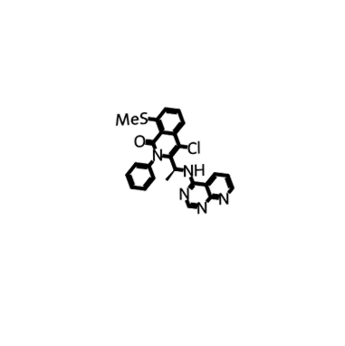 CSc1cccc2c(Cl)c([C@H](C)Nc3ncnc4ncccc34)n(-c3ccccc3)c(=O)c12